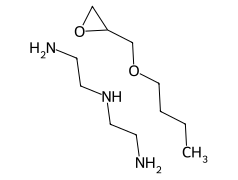 CCCCOCC1CO1.NCCNCCN